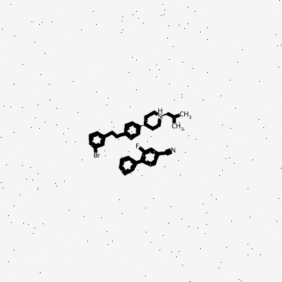 CC(C)C[Si@H]1CC[C@H](c2ccc(CCc3cccc(Br)c3)cc2)CC1.N#Cc1ccc(-c2ccccc2)c(F)c1